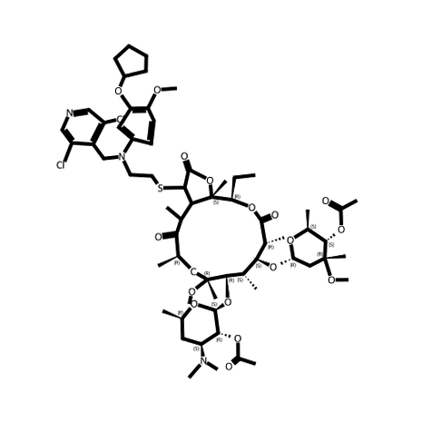 CC[C@H]1OC(=O)[C@H](C)[C@@H](O[C@H]2C[C@@](C)(OC)[C@@H](OC(C)=O)[C@H](C)O2)[C@H](C)[C@@H](O[C@@H]2O[C@H](C)C[C@H](N(C)C)[C@H]2OC(C)=O)[C@](C)(OC)C[C@@H](C)C(=O)C(C)C2C(SCCN(Cc3c(Cl)cncc3Cl)c3ccc(OC)c(OC4CCCC4)c3)C(=O)O[C@@]21C